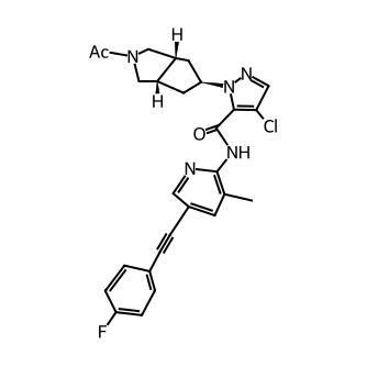 CC(=O)N1C[C@H]2C[C@H](n3ncc(Cl)c3C(=O)Nc3ncc(C#Cc4ccc(F)cc4)cc3C)C[C@H]2C1